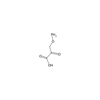 O=C(O)C(=O)COP